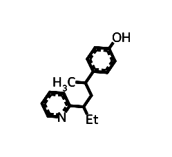 CCC(CC(C)c1ccc(O)cc1)c1ccccn1